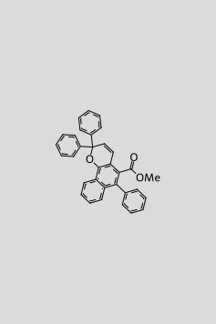 COC(=O)c1c2c(c3ccccc3c1-c1ccccc1)OC(c1ccccc1)(c1ccccc1)C=C2